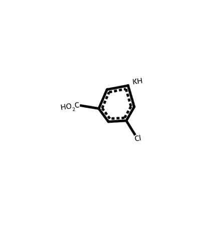 O=C(O)c1cccc(Cl)c1.[KH]